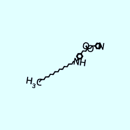 CCCCCCCCCCCCCCCCNc1ccc(CCC(=O)OCc2ccncc2)cc1